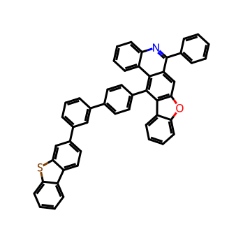 c1ccc(-c2nc3ccccc3c3c(-c4ccc(-c5cccc(-c6ccc7c(c6)sc6ccccc67)c5)cc4)c4c(cc23)oc2ccccc24)cc1